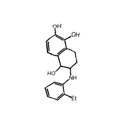 CCc1ccccc1NC1CCc2c(ccc(O)c2O)C1O